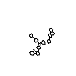 c1ccc(-c2ccc(N(c3ccc(-c4cccc(-c5ccc6c(ccc7ccccc76)c5)c4)cc3)c3ccc(-c4cccc5c4sc4ccccc45)cc3)cc2)cc1